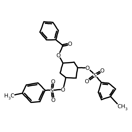 Cc1ccc(S(=O)(=O)OC2CC(OC(=O)c3ccccc3)CC(OS(=O)(=O)c3ccc(C)cc3)C2)cc1